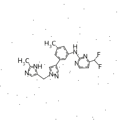 Cc1cc(Nc2nccc(C(F)F)n2)cc(-c2cnn(Cc3cnc(C)[nH]3)c2)c1